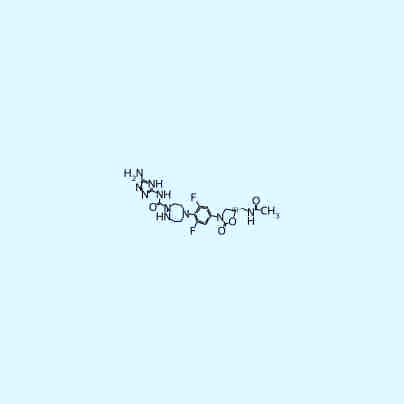 CC(=O)NC[C@H]1CN(c2cc(F)c(N3CCNN(C(=O)Nc4nnc(N)[nH]4)CC3)c(F)c2)C(=O)O1